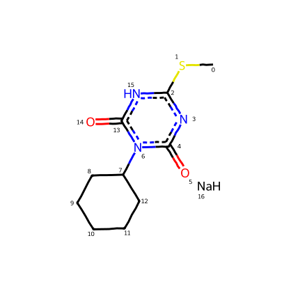 CSc1nc(=O)n(C2CCCCC2)c(=O)[nH]1.[NaH]